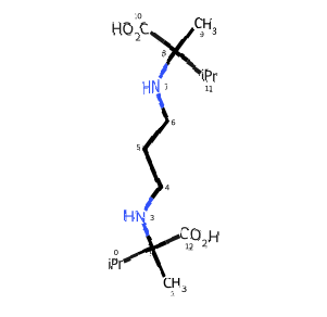 CC(C)C(C)(NCCCNC(C)(C(=O)O)C(C)C)C(=O)O